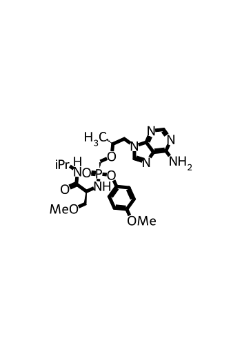 COC[C@H](N[P@](=O)(CO[C@H](C)Cn1cnc2c(N)ncnc21)Oc1ccc(OC)cc1)C(=O)NC(C)C